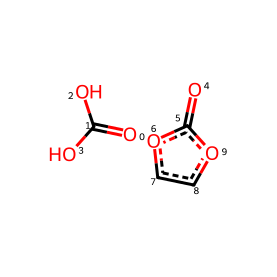 O=C(O)O.O=c1occo1